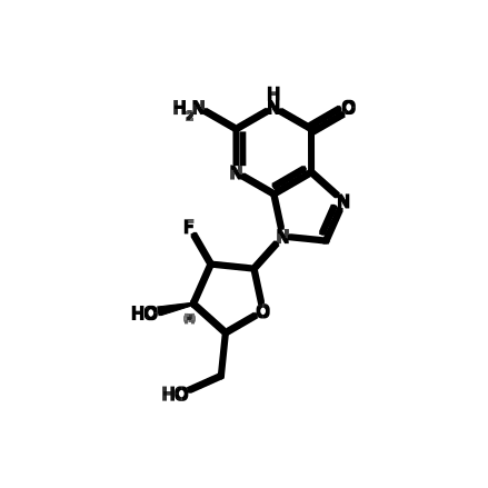 Nc1nc2c(ncn2C2OC(CO)[C@@H](O)C2F)c(=O)[nH]1